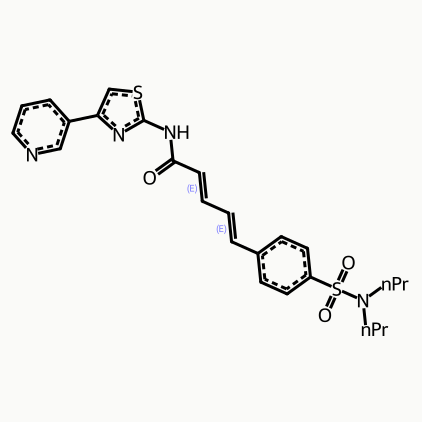 CCCN(CCC)S(=O)(=O)c1ccc(/C=C/C=C/C(=O)Nc2nc(-c3cccnc3)cs2)cc1